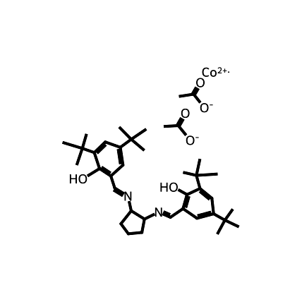 CC(=O)[O-].CC(=O)[O-].CC(C)(C)c1cc(C=NC2CCCC2N=Cc2cc(C(C)(C)C)cc(C(C)(C)C)c2O)c(O)c(C(C)(C)C)c1.[Co+2]